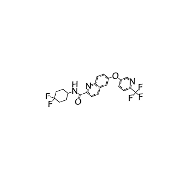 O=C(NC1CCC(F)(F)CC1)c1ccc2cc(Oc3ccc(C(F)(F)F)nc3)ccc2n1